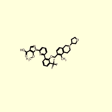 COc1c(C(=O)O)cnn1-c1cccc(-c2cccc(C(F)(F)F)c2OCc2ccc3c(c2C)CCN(C2CCOC2)C3)n1